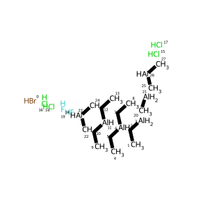 Br.C[CH2][AlH2].C[CH2][AlH][CH2]C.C[CH2][AlH][CH2]C.Cl.Cl.Cl.Cl.F.F.[CH3][AlH2].[CH3][AlH][CH3].[CH3][AlH][CH3]